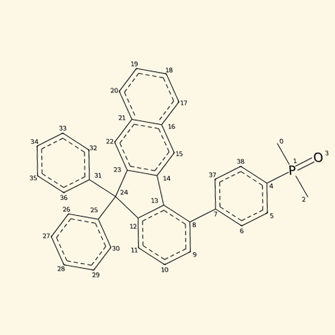 CP(C)(=O)c1ccc(-c2cccc3c2-c2cc4ccccc4cc2C3(c2ccccc2)c2ccccc2)cc1